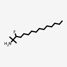 CCCCCCCCCCCCC(F)C(C)(C)N